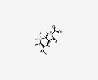 COC1=C(C)C(C)(Cl)C2=CC(C(=O)O)N(C)C2=C1